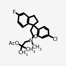 CC(=O)OC(C)(C)CN(C)C(=O)CC1(c2ccc(Cl)cc2)CCc2cc(F)ccc21